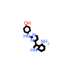 Nc1cccc2[nH]cc(-c3ccnc(NC4CCC(O)CC4)n3)c12